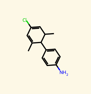 CC1=CC(Cl)=CC(C)C1c1ccc(N)cc1